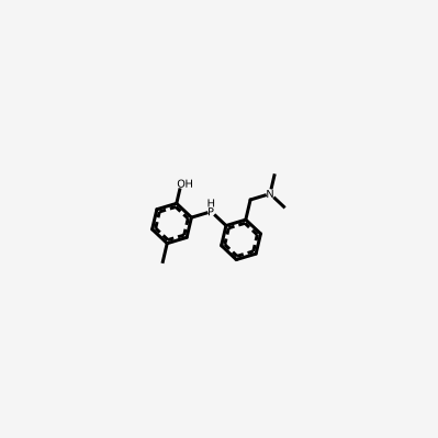 Cc1ccc(O)c(Pc2ccccc2CN(C)C)c1